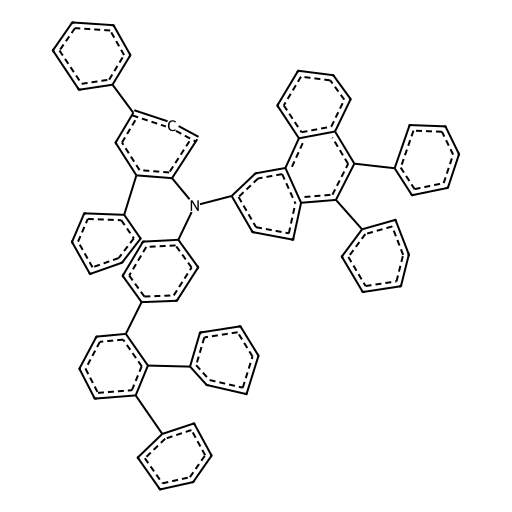 c1ccc(-c2ccc(N(c3ccc(-c4cccc(-c5ccccc5)c4-c4ccccc4)cc3)c3ccc4c(-c5ccccc5)c(-c5ccccc5)c5ccccc5c4c3)c(-c3ccccc3)c2)cc1